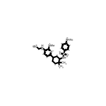 CNc1nc(C2CCC(C)(C)C(NS(=O)(=O)c3ccc(NC(C)=O)cc3)C2)ccc1NCC(C)(C)C